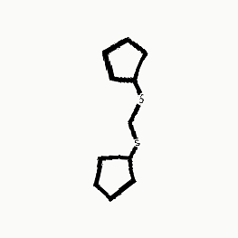 C1CCC(SCSC2CCCC2)C1